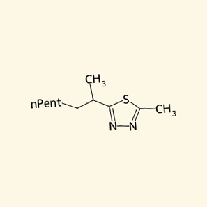 CCCCCCC(C)c1nnc(C)s1